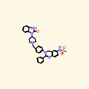 CS(=O)(=O)Nc1ccc2c(c1)CN(c1ccc(CN3CCC(n4c(=O)[nH]c5ccccc54)CC3)cc1)C(c1ccccc1)=N2